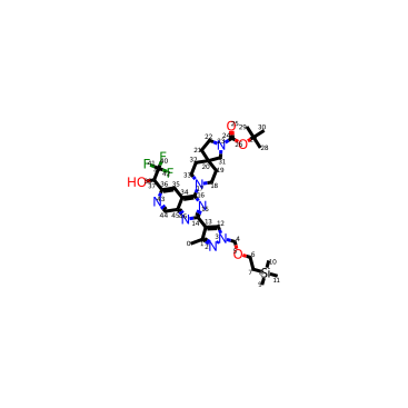 Cc1nn(COCC[Si](C)(C)C)cc1-c1nc(N2CCC3(CCN(C(=O)OC(C)(C)C)C3)CC2)c2cc(C(O)C(F)(F)F)ncc2n1